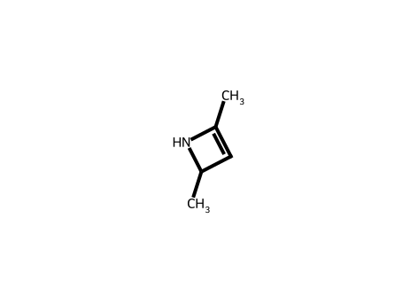 CC1=CC(C)N1